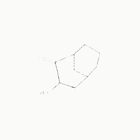 CC1CC2CCCC(C2)C1=O